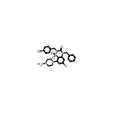 CN1CCN(c2cc(Cl)cc3c2S(=O)(=O)N(Cc2ccc(Cl)cc2)C(=O)N3Cc2ccccc2)CC1